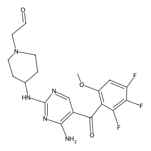 COc1cc(F)c(F)c(F)c1C(=O)c1cnc(NC2CCN(CC=O)CC2)nc1N